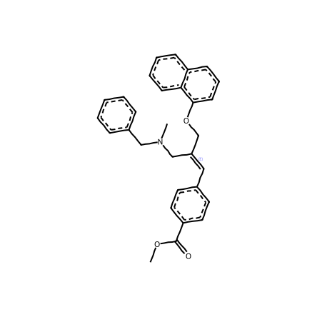 COC(=O)c1ccc(/C=C(/COc2cccc3ccccc23)CN(C)Cc2ccccc2)cc1